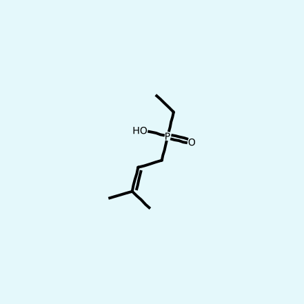 CCP(=O)(O)CC=C(C)C